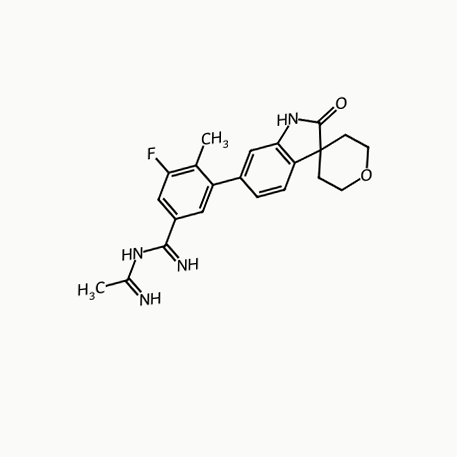 CC(=N)NC(=N)c1cc(F)c(C)c(-c2ccc3c(c2)NC(=O)C32CCOCC2)c1